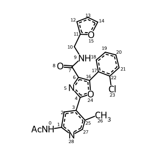 CC(=O)Nc1cc(-c2nc(C(=O)NCc3ccco3)c(-c3ccccc3Cl)o2)c(C)cn1